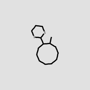 CC1CCCCCCCCC1C1SCCCS1